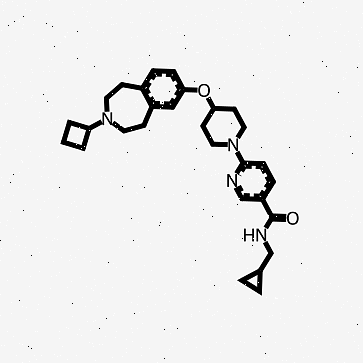 O=C(NCC1CC1)c1ccc(N2CCC(Oc3ccc4c(c3)CCN(C3CCC3)CC4)CC2)nc1